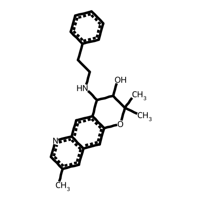 Cc1cnc2cc3c(cc2c1)OC(C)(C)C(O)C3NCCc1ccccc1